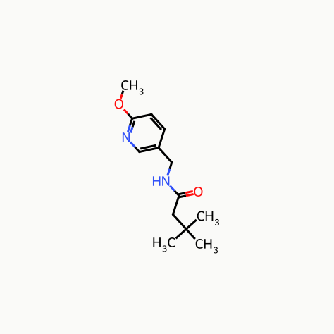 COc1ccc(CNC(=O)CC(C)(C)C)cn1